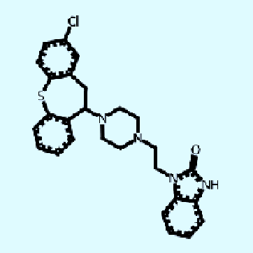 O=c1[nH]c2ccccc2n1CCN1CCN(C2Cc3cc(Cl)ccc3Sc3ccccc32)CC1